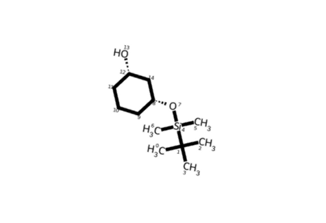 CC(C)(C)[Si](C)(C)O[C@@H]1CCC[C@H](O)C1